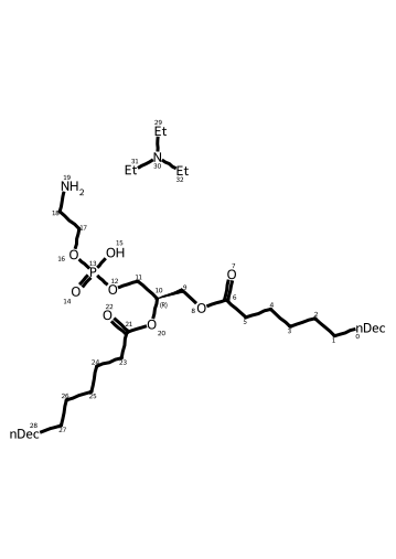 CCCCCCCCCCCCCCCC(=O)OC[C@H](COP(=O)(O)OCCN)OC(=O)CCCCCCCCCCCCCCC.CCN(CC)CC